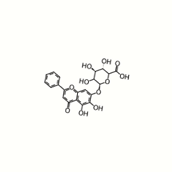 O=C(O)C1O[C@@H](Oc2cc3oc(-c4ccccc4)cc(=O)c3c(O)c2O)C(O)[C@@H](O)[C@@H]1O